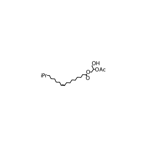 CC(=O)OC(CO)COC(=O)CCCCCCC/C=C\CCCCCC(C)C